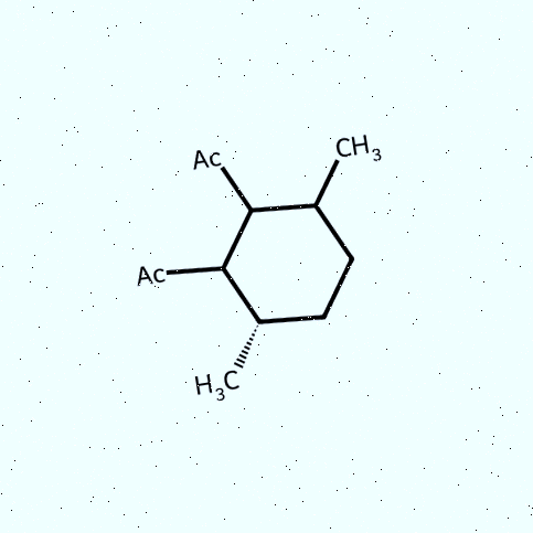 CC(=O)C1C(C)CC[C@H](C)C1C(C)=O